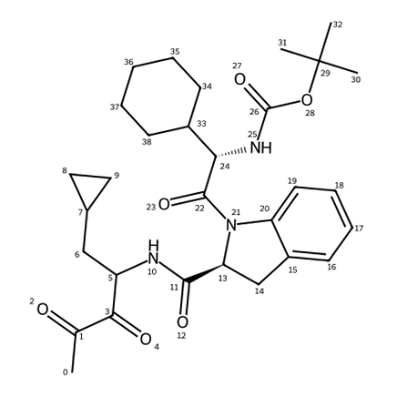 CC(=O)C(=O)C(CC1CC1)NC(=O)[C@@H]1Cc2ccccc2N1C(=O)[C@@H](NC(=O)OC(C)(C)C)C1CCCCC1